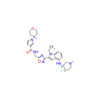 CN1CC[C@H](F)[C@H](Nc2cccc3c2cc(-c2noc(CNC(=O)c4ccn(C5(C)CCOCC5)c4)n2)n3CC(F)(F)F)C1